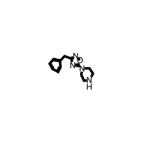 c1ccc(Cc2noc(N3CCNCC3)n2)cc1